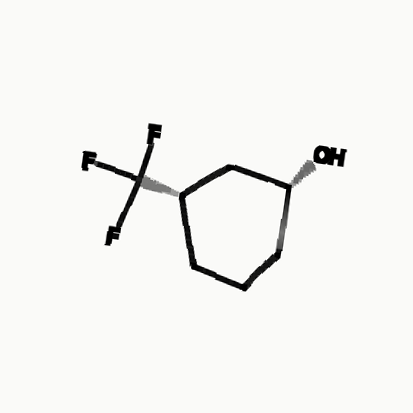 O[C@@H]1CCC[C@H](C(F)(F)F)C1